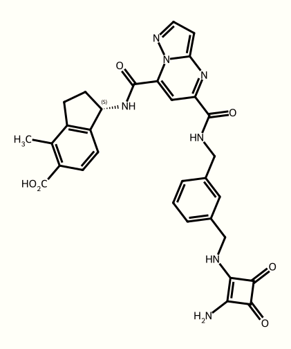 Cc1c(C(=O)O)ccc2c1CC[C@@H]2NC(=O)c1cc(C(=O)NCc2cccc(CNc3c(N)c(=O)c3=O)c2)nc2ccnn12